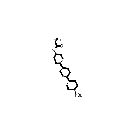 CCCCC(=O)O[C@H]1CC[C@H]([C@H]2CC[C@H]([C@H]3CC[C@H](CCCC)CC3)CC2)CC1